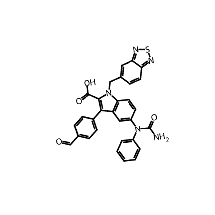 NC(=O)N(c1ccccc1)c1ccc2c(c1)c(-c1ccc(C=O)cc1)c(C(=O)O)n2Cc1ccc2nsnc2c1